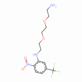 NCCOCCOCCNc1cc(C(F)(F)F)ccc1[N+](=O)[O-]